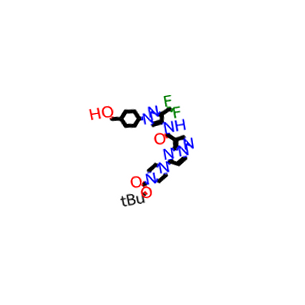 CC(C)(C)OC(=O)N1CCN(c2ccn3ncc(C(=O)Nc4cn(C5CCC(CO)CC5)nc4C(F)F)c3n2)CC1